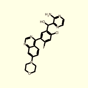 Nc1nccnc1C(O)c1cc(-c2ncnc3cc(N4CCOCC4)ccc23)c(F)cc1Cl